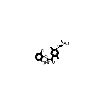 CCN(C)C=Nc1cc(C)c(C(=O)C(C#N)Oc2c(Cl)cccc2Cl)cc1C